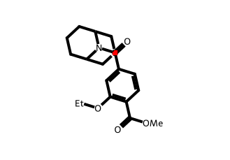 CCOc1cc(C(=O)N2C3CCCC2COC3)ccc1C(=O)OC